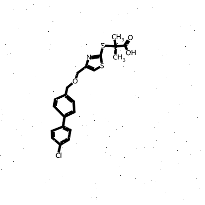 CC(C)(Sc1nc(COCc2ccc(-c3ccc(Cl)cc3)cc2)cs1)C(=O)O